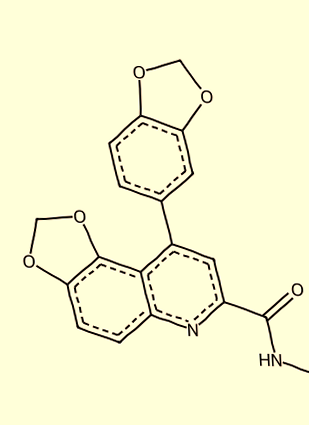 CNC(=O)c1cc(-c2ccc3c(c2)OCO3)c2c3c(ccc2n1)OCO3